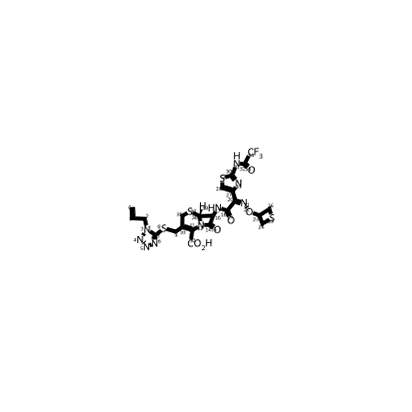 C=CCn1nnnc1SCC1=C(C(=O)O)N2C(=O)C(NC(=O)/C(=N\OC3CSC3)c3csc(NC(=O)C(F)(F)F)n3)[C@H]2SC1